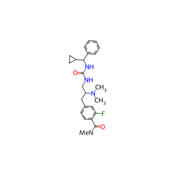 CNC(=O)c1ccc(CC(CNC(=O)NC(c2ccccc2)C2CC2)N(C)C)cc1F